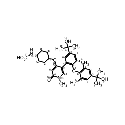 Cc1cc(C(C)(C)O)cc(C)c1Oc1ccc(C(C)(C)O)cc1-c1cn(C)c(=O)cc1O[C@H]1CC[C@H](NC(=O)O)CC1